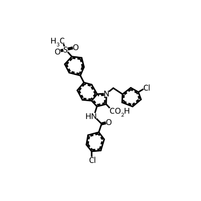 CS(=O)(=O)c1ccc(-c2ccc3c(NC(=O)c4ccc(Cl)cc4)c(C(=O)O)n(Cc4cccc(Cl)c4)c3c2)cc1